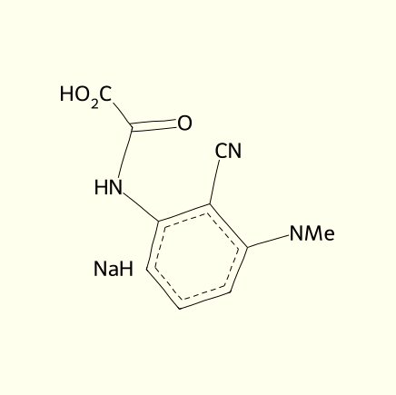 CNc1cccc(NC(=O)C(=O)O)c1C#N.[NaH]